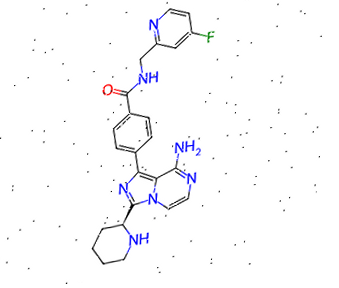 Nc1nccn2c([C@@H]3CCCCN3)nc(-c3ccc(C(=O)NCc4cc(F)ccn4)cc3)c12